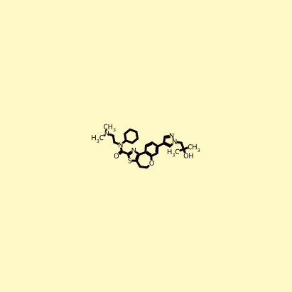 CN(C)CCN(C(=O)c1nc2c(s1)CCOc1cc(-c3cnn(CC(C)(C)O)c3)ccc1-2)C1CCCCC1